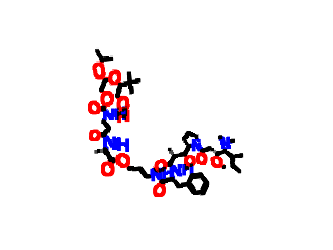 CC[C@H](C)C([C@@H](CC(=O)N1CCC[C@H]1[C@H](OC)[C@@H](C)C(=O)N[C@@H](Cc1ccccc1)C(=O)NCCCOC(=O)[C@H](C)NC(=O)CCNC(=O)OCC(OC(C)C)OC(CO)C(C)(C)C)OC)N(C)C